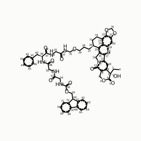 CC[C@@]1(O)C(=O)OCc2c1cc1n(c2=O)Cc2c-1nc1cc3c(c4c1c2[C@@H](CCCOCNC(=O)CNC(=O)[C@H](Cc1ccccc1)NC(=O)CNC(=O)CNC(=O)OCC1c2ccccc2-c2ccccc21)CC4)OCO3